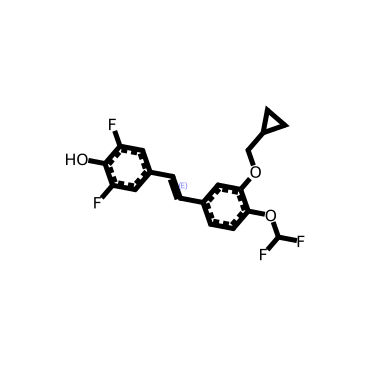 Oc1c(F)cc(/C=C/c2ccc(OC(F)F)c(OCC3CC3)c2)cc1F